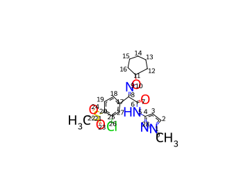 Cn1ccc(NC(=O)C(=NOC2CCCCC2)c2ccc(S(C)(=O)=O)c(Cl)c2)n1